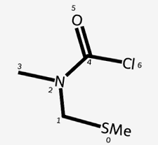 CSCN(C)C(=O)Cl